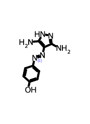 Nc1n[nH]c(N)c1/N=N/c1ccc(O)cc1